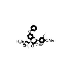 COc1ccc([C@H]2Sc3cc(Oc4ccccc4)ccc3N(CCN(C)C)C(=O)[C@H]2OC(C)=O)cc1Cl